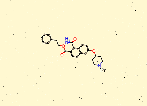 CC(C)N1CCC(Oc2ccc3c(C(N)=O)c(C(=O)OCCc4ccccc4)ccc3c2)CC1